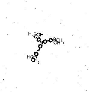 CC(O)Oc1ccc(C=Cc2ccc(N(c3ccc(OC(C)O)cc3)c3ccc(-c4ccc(OC(C)O)cc4)cc3)cc2)cc1